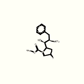 CC(C)(C)OC(=O)N1CC(F)CC1[C@@H](O)[C@@H](Cc1ccccc1)[N+](=O)[O-]